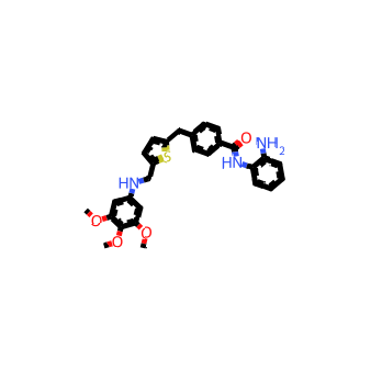 COc1cc(NCc2ccc(Cc3ccc(C(=O)Nc4ccccc4N)cc3)s2)cc(OC)c1OC